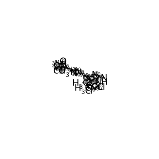 COc1cc(Nc2c(C#N)cnc3cc(OCCCN4CCN(CCCCN5C(=O)c6cccc(C)c6C5=O)CC4)c(OC)cc23)c(Cl)cc1Cl